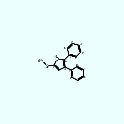 CC(C)Sc1cc(-c2ccccc2)c(-c2ccccc2)o1